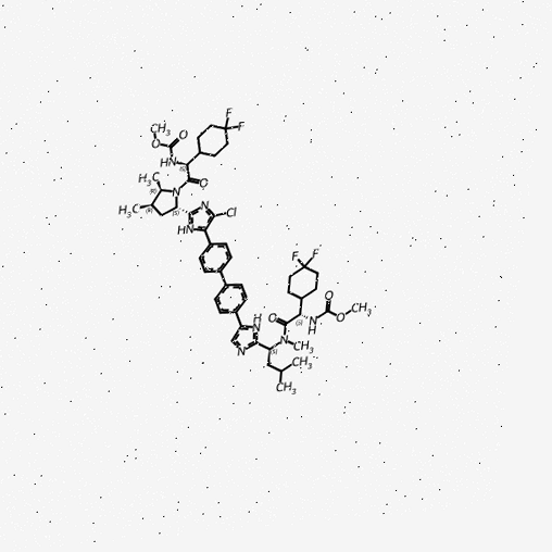 COC(=O)N[C@H](C(=O)N(C)[C@@H](CC(C)C)c1ncc(-c2ccc(-c3ccc(-c4[nH]c([C@@H]5C[C@@H](C)[C@@H](C)N5C(=O)[C@@H](NC(=O)OC)C5CCC(F)(F)CC5)nc4Cl)cc3)cc2)[nH]1)C1CCC(F)(F)CC1